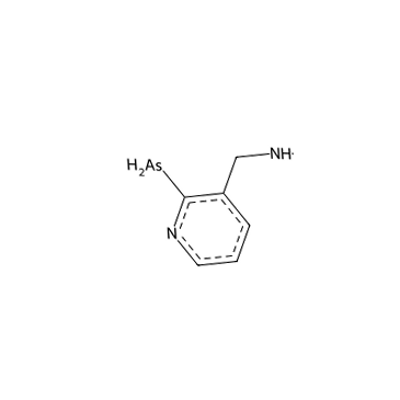 [NH]Cc1cccnc1[AsH2]